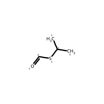 CC(C)SC=O